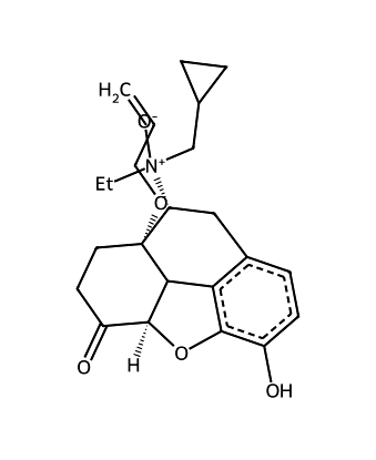 C=CCO[C@@]12CCC(=O)[C@@H]3Oc4c(O)ccc(c4C31)C[C@H]2[N+]([O-])(CC)CC1CC1